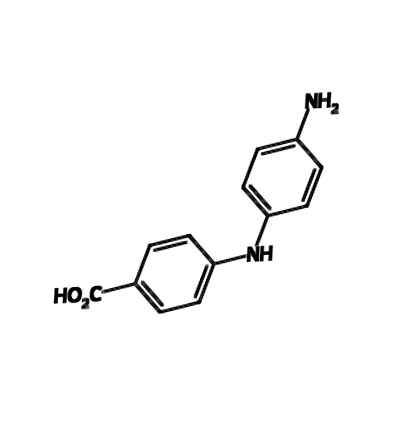 Nc1ccc(Nc2ccc(C(=O)O)cc2)cc1